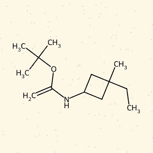 C=C(NC1CC(C)(CC)C1)OC(C)(C)C